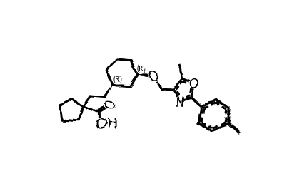 Cc1ccc(-c2nc(CO[C@@H]3CCC[C@H](CCC4(C(=O)O)CCCC4)C3)c(C)o2)cc1